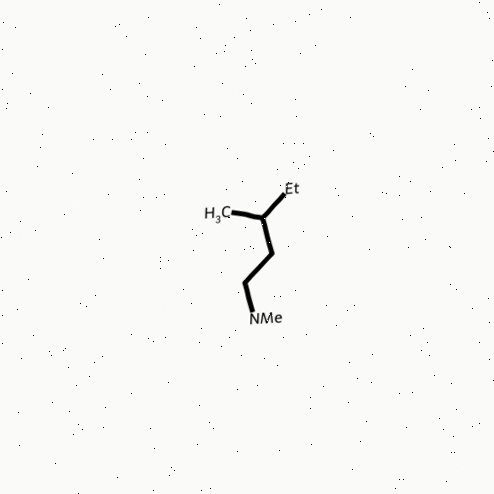 [CH2]NCCC(C)CC